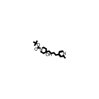 Cc1cc(CCCCC2(O)CCN(C(=O)OC(C)(C)C)CC2)ccn1